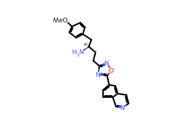 COc1ccc(C[C@H](N)CCc2noc(-c3ccc4cnccc4c3)n2)cc1